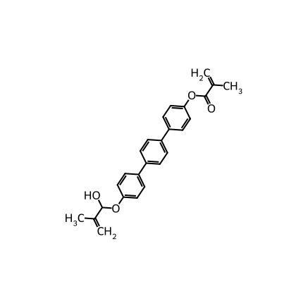 C=C(C)C(=O)Oc1ccc(-c2ccc(-c3ccc(OC(O)C(=C)C)cc3)cc2)cc1